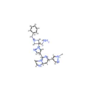 Cn1cc(-c2cc3nccn3c(-c3cnn(C4(CN)CN(Cc5ccccc5)C4)c3)n2)cn1